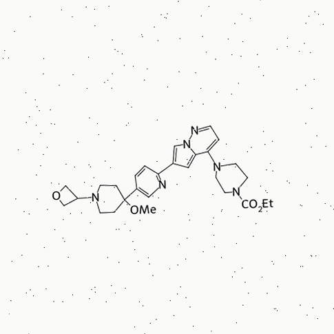 CCOC(=O)N1CCN(c2ccnn3cc(-c4ccc(C5(OC)CCN(C6COC6)CC5)cn4)cc23)CC1